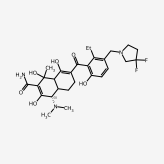 CCc1c(CN2CCC(F)(F)C2)ccc(O)c1C(=O)C1=C(O)C2C(CC1)[C@H](N(C)C)C(O)=C(C(N)=O)C2(C)O